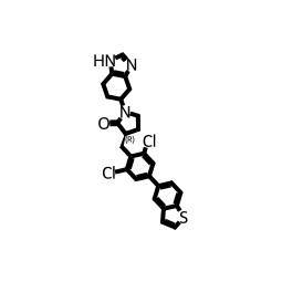 O=C1[C@H](Cc2c(Cl)cc(-c3ccc4sccc4c3)cc2Cl)CCN1C1CCc2[nH]cnc2C1